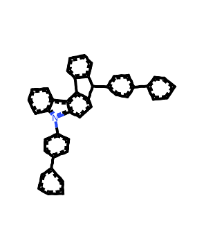 c1ccc(-c2ccc(C3c4ccccc4-c4c3ccc3c4c4ccccc4n3-c3ccc(-c4ccccc4)cc3)cc2)cc1